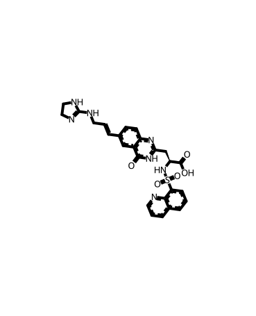 O=C(O)[C@H](Cc1nc2ccc(C=CCNC3=NCCN3)cc2c(=O)[nH]1)NS(=O)(=O)c1cccc2cccnc12